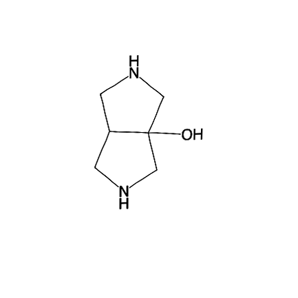 OC12CNCC1CNC2